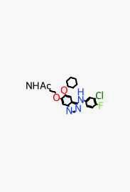 CC(=O)NCCOc1cc2ncnc(Nc3ccc(F)c(Cl)c3)c2cc1OC1CCCCC1